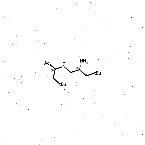 CC(=O)[C@H](CC(C)(C)C)NC[C@H](N)CC(C)(C)C